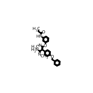 C=N/C(Oc1cccc(NC(=O)CC)c1)=C(\C(N)=N/C)c1ccc(OCc2ccccc2)cc1